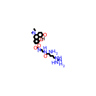 CCN(C)[C@@H]1Cc2ccc(OC(=O)N(C)CCNC(=O)[C@@H](N)CCCNC(=N)N)c3c2C2C1CCC(=O)[C@@H]2O3